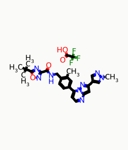 Cc1cc(-c2ccnc3cc(-c4cnn(C)c4)nn23)ccc1CNC(=O)c1noc(C(C)(C)C)n1.O=C(O)C(F)(F)F